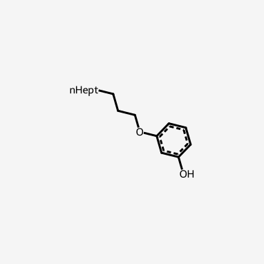 CCCCCCCCCCOc1cccc(O)c1